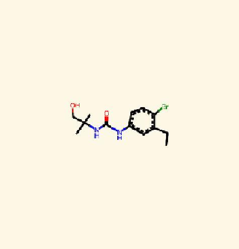 CCc1cc(NC(=O)NC(C)(C)CO)ccc1Br